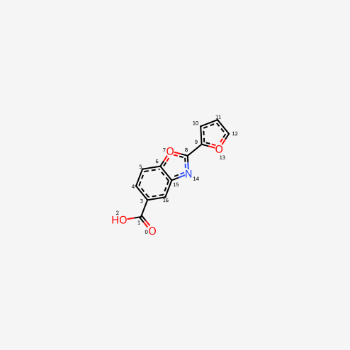 O=C(O)c1ccc2oc(-c3ccco3)nc2c1